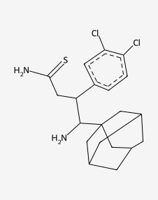 NC(=S)CC(c1ccc(Cl)c(Cl)c1)C(N)C12CC3CC(CC(C3)C1)C2